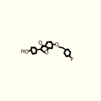 O=c1c(-c2ccc(O)cc2)coc2cc(OCCc3ccc(F)cc3)ccc12